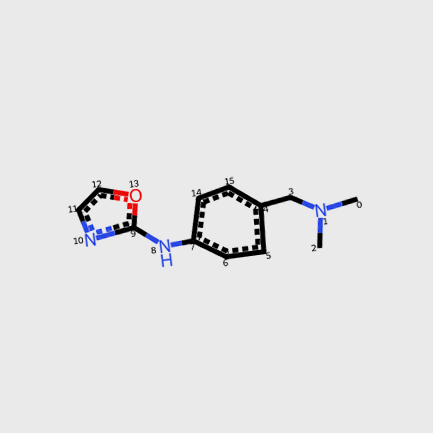 CN(C)Cc1ccc(Nc2ncco2)cc1